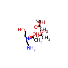 CC(=O)O.CC(=O)O.CC(=O)O.NCCNCCO.[Na]